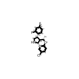 C[C@H](Oc1ccc(Cl)cn1)C1CNC[C@@H]1c1ccc(F)cc1F